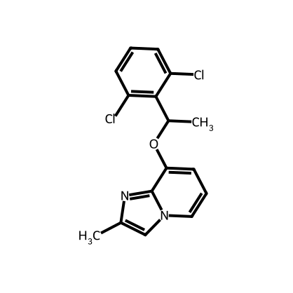 Cc1cn2cccc(OC(C)c3c(Cl)cccc3Cl)c2n1